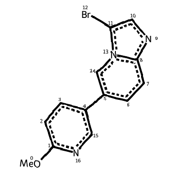 COc1ccc(-c2ccc3ncc(Br)n3c2)cn1